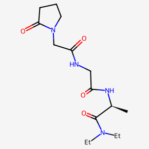 CCN(CC)C(=O)[C@H](C)NC(=O)CNC(=O)CN1CCCC1=O